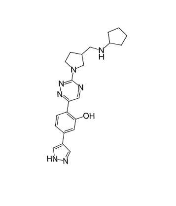 Oc1cc(-c2cn[nH]c2)ccc1-c1cnc(N2CCC(CNC3CCCC3)C2)nn1